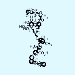 Cc1c(-c2ccc(N3CCc4cccc(C(=O)Nc5nc6ccccc6s5)c4C3)nc2C(=O)O)cnn1CC12CC3(C)CC(C)(C1)CC(OCCN(CCS(=O)(=O)O)C(=O)OCc1ccc(NC(=O)[C@H](C)NC(=O)[C@@H](NC(=O)CN4C(=O)C=CC4=O)C(C)C)cc1C[C@@H]1O[C@H](C(=O)O)[C@@H](O)[C@H](O)[C@H]1O)(C3)C2